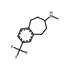 CNC1CCc2ccc(C(F)(F)F)cc2CC1